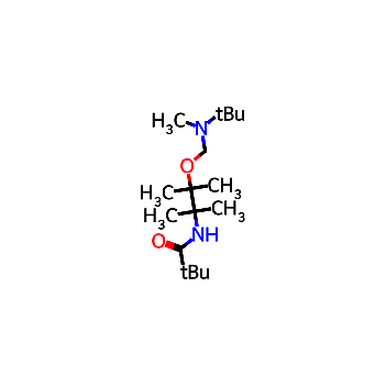 CN(COC(C)(C)C(C)(C)NC(=O)C(C)(C)C)C(C)(C)C